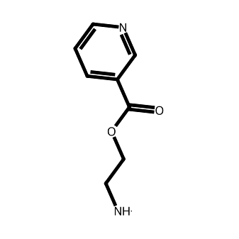 [NH]CCOC(=O)c1cccnc1